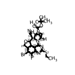 CCSc1nc(N2C[C@H]3C[C@@H]2CN3C(=O)OC(C)(C)C)c2c3c(c(Br)c(F)c2n1)COC3CC#N